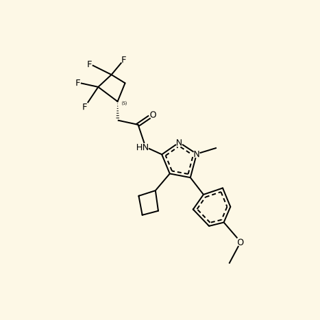 COc1ccc(-c2c(C3CCC3)c(NC(=O)C[C@H]3CC(F)(F)C3(F)F)nn2C)cc1